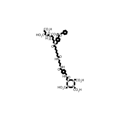 O=C(O)CC[C@H](NC(=O)N[C@@H](CCCCN(Cc1ccc(C(=O)OCc2ccccc2)cc1)C(=O)CCCCCCC(=O)NCCCCNC(=O)c1ccc(CNC(=O)CN2CCN(CC(=O)O)CCN(CC(=O)O)CCN(CC(=O)O)CC2)cc1)C(=O)O)C(=O)O